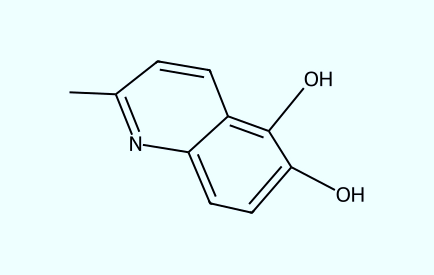 Cc1ccc2c(O)c(O)ccc2n1